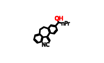 CCCC(O)c1ccc2c(c1)CCc1ccccc1C2=CC#N